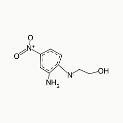 Nc1cc([N+](=O)[O-])ccc1[N]CCO